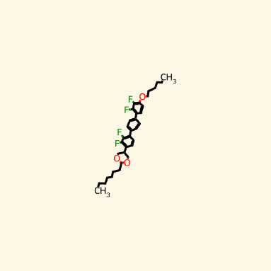 CCCCCCCC1OCC(c2ccc(-c3ccc(-c4ccc(OCCCCCC)c(F)c4F)cc3)c(F)c2F)CO1